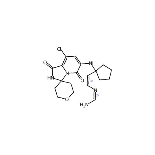 N/C=N\C=C/C1(Nc2cc(Cl)c3n(c2=O)C2(CCOCC2)NC3=O)CCCC1